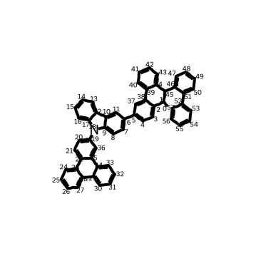 CC1c2ccc(-c3ccc4c(c3)c3ccccc3n4-c3ccc4c5ccccc5c5ccccc5c4c3)cc2-c2ccccc2C1c1ccccc1-c1ccccc1